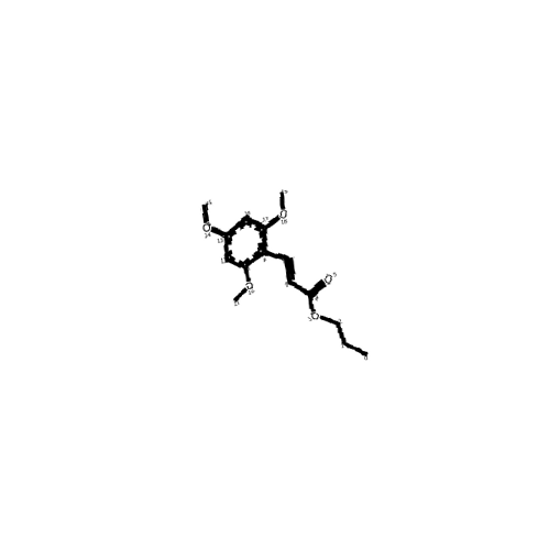 CCCOC(=O)/C=C/c1c(OC)cc(OC)cc1OC